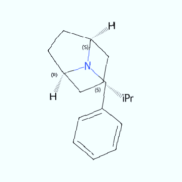 CC(C)[C@@H]1C[C@H]2CC[C@@H](C1)N2Cc1ccccc1